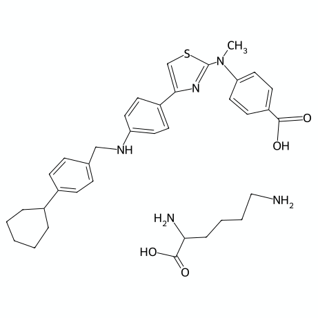 CN(c1ccc(C(=O)O)cc1)c1nc(-c2ccc(NCc3ccc(C4CCCCC4)cc3)cc2)cs1.NCCCCC(N)C(=O)O